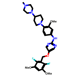 COc1cc(Nc2ncc(OCc3c(F)c(OC)cc(OC)c3F)cn2)ccc1N1CCC(N2CCN(C)CC2)CC1